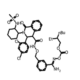 CCCCC(CC)COC(=O)ON=C(N)c1cccc(CONC(=O)C2c3ccccc3C(=O)N(C3CCCCC3NS(C)(=O)=O)C2c2ccc(Cl)cc2Cl)c1